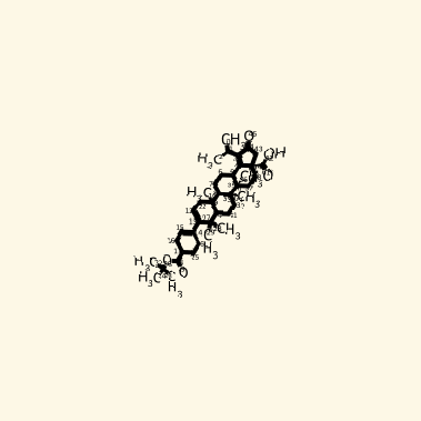 CC(C)C1=C2C3CCC4[C@@]5(C)CC=C(C6=CCC(C(=O)OC(C)(C)C)CC6)C(C)(C)C5CC[C@@]4(C)[C@]3(C)CC[C@@]2(C(=O)O)CC1=O